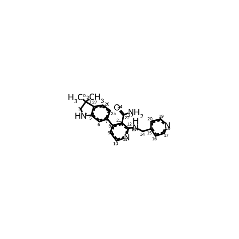 CC1(C)CNc2cc(-c3ccnc(NCc4ccncc4)c3C(N)=O)ccc21